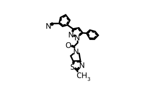 Cc1nc2c(s1)CN(C(=O)Cn1nc(-c3cccc(C#N)c3)cc1-c1ccccc1)C2